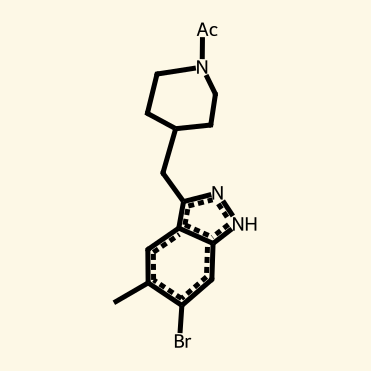 CC(=O)N1CCC(Cc2n[nH]c3cc(Br)c(C)cc23)CC1